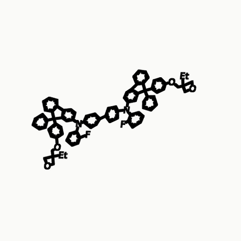 CCC1(COc2ccc(C3(c4ccccc4)c4ccccc4-c4ccc(N(c5ccc(-c6ccc(N(c7ccc8c(c7)C(c7ccccc7)(c7ccc(OCC9(CC)COC9)cc7)c7ccccc7-8)c7ccccc7F)cc6)cc5)c5ccccc5F)cc43)cc2)COC1